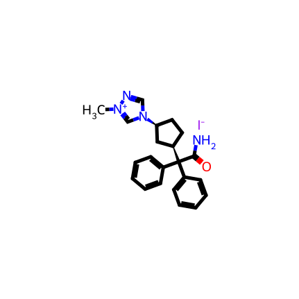 C[n+]1cn([C@H]2CC[C@@H](C(C(N)=O)(c3ccccc3)c3ccccc3)C2)cn1.[I-]